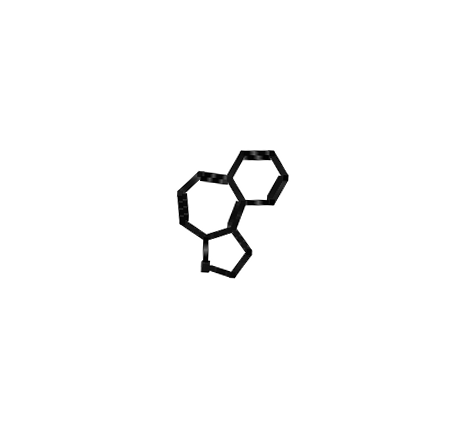 C1=CC2SCCC2=c2ccccc2=C1